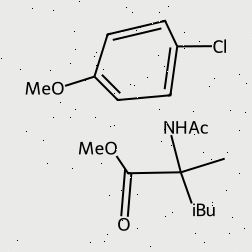 CCC(C)C(C)(NC(C)=O)C(=O)OC.COc1ccc(Cl)cc1